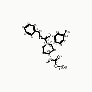 CN(C(=O)OC(C)(C)C)[C@@H]1CCN(C(=O)OCc2ccccc2)[C@H](c2ccc(F)cc2)C1